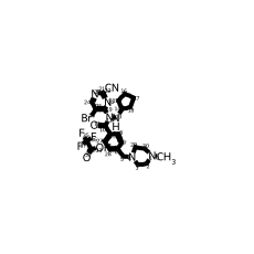 CN1CCN(Cc2ccc(C(=O)N(NC3CCCC3)c3nc(C#N)ncc3Br)cc2)CC1.O=C(O)C(F)(F)F